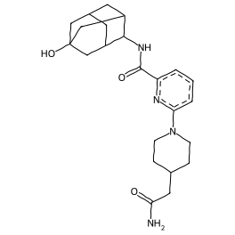 NC(=O)CC1CCN(c2cccc(C(=O)NC3C4CC5CC3CC(O)(C5)C4)n2)CC1